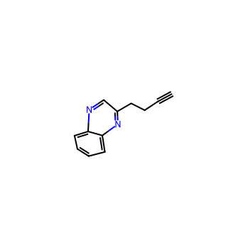 C#CCCc1cnc2ccccc2n1